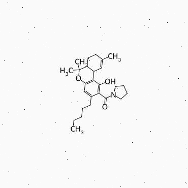 CCCCCc1cc2c(c(O)c1C(=O)N1CCCC1)C1C=C(C)CCC1C(C)(C)O2